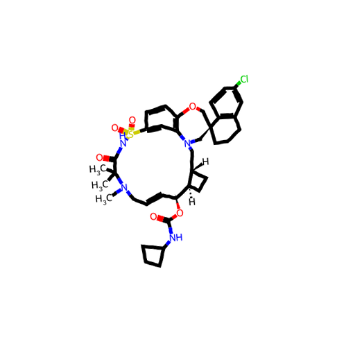 CN1C/C=C/[C@H](OC(=O)NC2CCC2)[C@@H]2CC[C@H]2CN2C[C@@]3(CCCc4cc(Cl)ccc43)COc3ccc(cc32)S(=O)(=O)NC(=O)C1(C)C